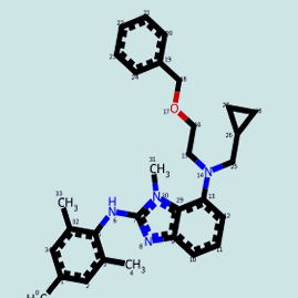 Cc1cc(C)c(Nc2nc3cccc(N(CCOCc4ccccc4)CC4CC4)c3n2C)c(C)c1